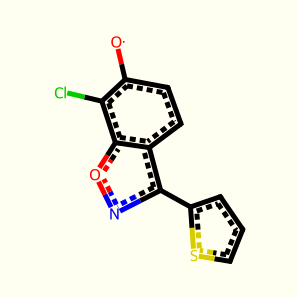 [O]c1ccc2c(-c3cccs3)noc2c1Cl